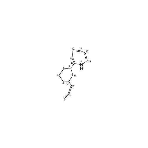 C=C=CC1CCCC(C2=CC=CC=CN2)C1